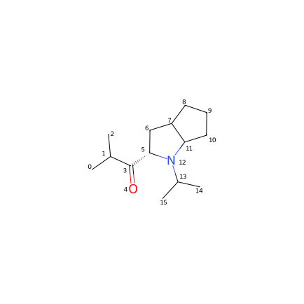 CC(C)C(=O)[C@@H]1CC2CCCC2N1C(C)C